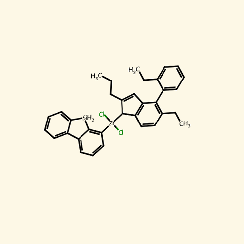 CCCC1=Cc2c(ccc(CC)c2-c2ccccc2CC)[CH]1[Zr]([Cl])([Cl])[c]1cccc2c1[SiH2]c1ccccc1-2